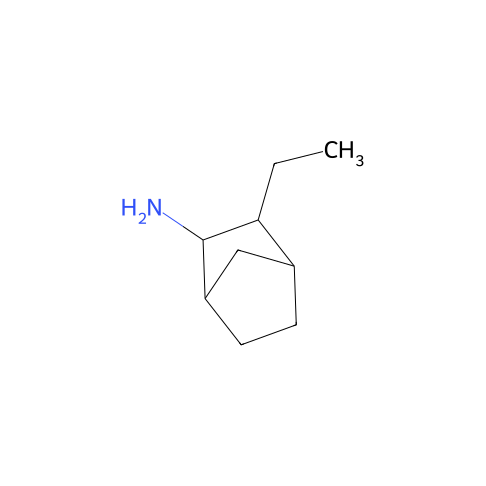 CCC1C2CCC(C2)C1N